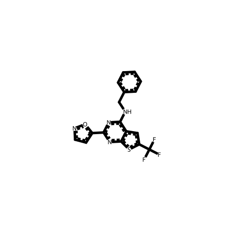 FC(F)(F)c1cc2c(NCc3ccccc3)nc(-c3ccno3)nc2s1